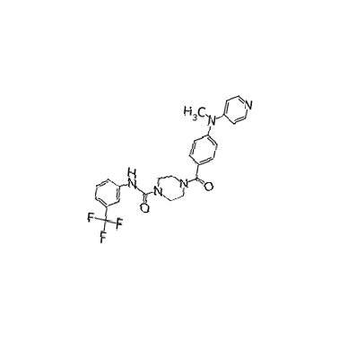 CN(c1ccncc1)c1ccc(C(=O)N2CCN(C(=O)Nc3cccc(C(F)(F)F)c3)CC2)cc1